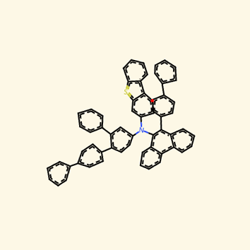 c1ccc(-c2ccc(-c3ccc(N(c4ccc5c(c4)sc4ccccc45)c4c(-c5ccc(-c6ccccc6)cc5)c5ccccc5c5ccccc45)cc3-c3ccccc3)cc2)cc1